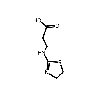 O=C(O)CCNC1=NCCS1